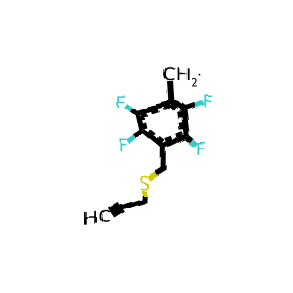 C#CCSCc1c(F)c(F)c([CH2])c(F)c1F